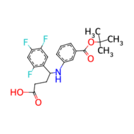 CC(C)(C)OC(=O)c1cccc(NC(CCC(=O)O)c2cc(F)c(F)cc2F)c1